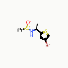 CC(C)[S+]([O-])N[C@@H](C)c1cc(Br)cs1